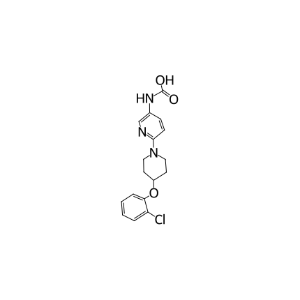 O=C(O)Nc1ccc(N2CCC(Oc3ccccc3Cl)CC2)nc1